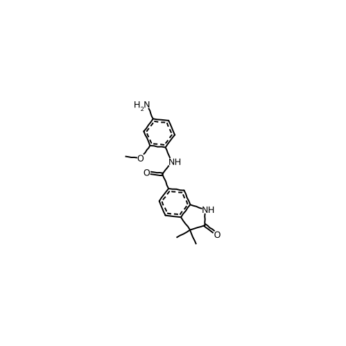 COc1cc(N)ccc1NC(=O)c1ccc2c(c1)NC(=O)C2(C)C